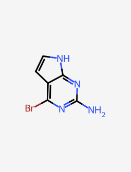 Nc1nc(Br)c2cc[nH]c2n1